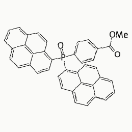 COC(=O)c1ccc(P(=O)(c2ccc3ccc4cccc5ccc2c3c45)c2ccc3ccc4cccc5ccc2c3c45)cc1